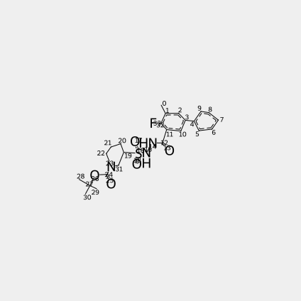 Cc1cc(-c2ccccc2)cc(C(=O)NNS(=O)(=O)C2CCCN(C(=O)OC(C)(C)C)C2)c1F